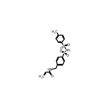 C=CC(=O)NCc1ccc(S(=O)(=O)NS(=O)(=O)c2ccc(C)cc2)cc1